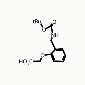 CC(C)(C)OC(=O)NCc1ccccc1OCC(=O)O